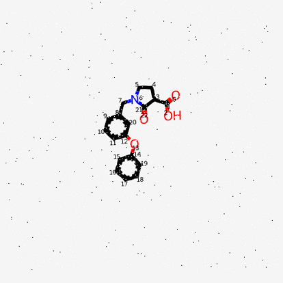 O=C(O)C1CCN(Cc2cccc(Oc3ccccc3)c2)C1=O